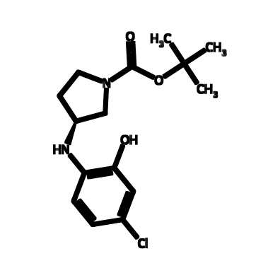 CC(C)(C)OC(=O)N1CC[C@H](Nc2ccc(Cl)cc2O)C1